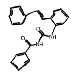 O=C(NC(=O)c1ccccc1)Nc1ccccc1C=Cc1ccccc1